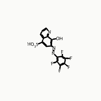 O=S(=O)(O)c1cc(/N=N/c2c(F)c(F)c(F)c(F)c2F)c(O)c2ncccc12